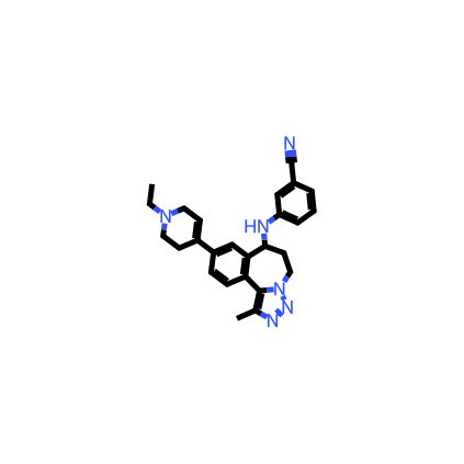 CCN1CC=C(c2ccc3c(c2)C(Nc2cccc(C#N)c2)CCn2nnc(C)c2-3)CC1